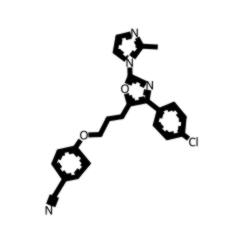 Cc1nccn1-c1nc(-c2ccc(Cl)cc2)c(CCCOc2ccc(C#N)cc2)o1